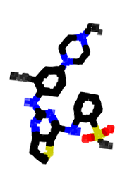 COc1cc(N2CCN(C)CC2)ccc1Nc1nc(Nc2ccccc2S(=O)(=O)C(C)(C)C)c2sccc2n1